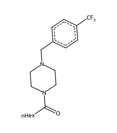 [CH2]CCCCCC(=O)N1CCN(Cc2ccc(C(F)(F)F)cc2)CC1